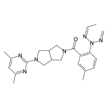 C=NN(/N=C\C)c1ccc(C)cc1C(=O)N1CC2CN(c3nc(C)cc(C)n3)CC2C1